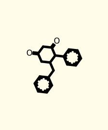 O=C1CC(=O)C(c2ccccc2)C(Cc2ccccc2)C1